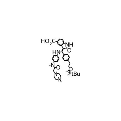 CN1CCN(CC(=O)N(C)c2ccc(NC(=C3C(=O)Nc4ccc(C(=O)O)cc43)c3ccc(CCO[Si](C)(C)C(C)(C)C)cc3)cc2)CC1